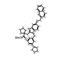 COC(=O)C1(Cc2nc3cc(OCc4ccc5ccccc5n4)ccc3n2Cc2cccc(N3CCCC3)c2)CCCC1